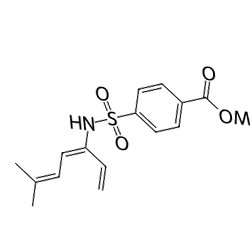 C=C/C(=C\C=C(C)C)NS(=O)(=O)c1ccc(C(=O)OC)cc1